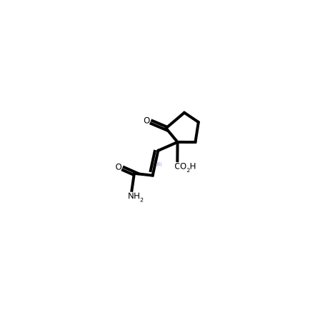 NC(=O)/C=C/C1(C(=O)O)CCCC1=O